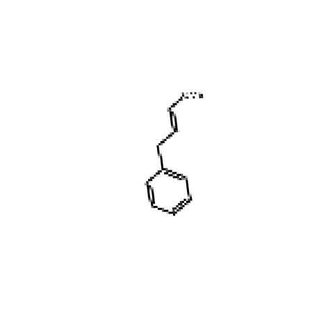 CO/C=C/Cc1ccccc1